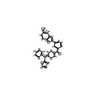 O=C(c1cccc(-c2nc3cc(C(F)(F)F)ccc3o2)c1)N1CCN(C(c2ccccc2)c2nnco2)CC1